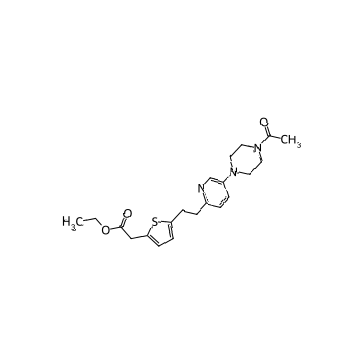 CCOC(=O)Cc1ccc(CCc2ccc(N3CCN(C(C)=O)CC3)cn2)s1